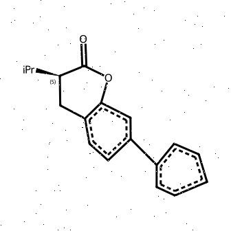 CC(C)[C@@H]1Cc2ccc(-c3ccccc3)cc2OC1=O